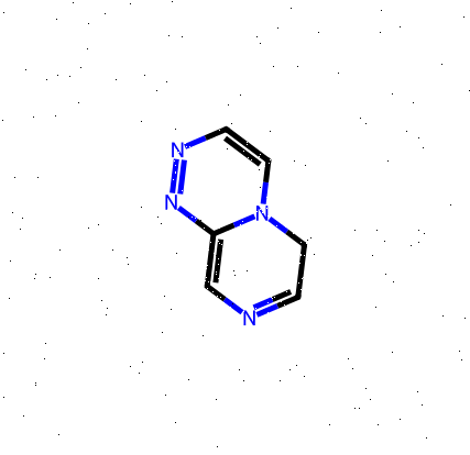 C1=CN2CC=NC=C2N=N1